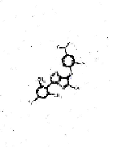 Cc1cc(C)c(-c2nnc3n2N=C(C(C)(C)C)/C3=N/c2ccc(N(C)C)cc2C(C)C)c(C)c1